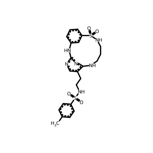 Cc1ccc(S(=O)(=O)NCCc2cnc3nc2NCCCNS(=O)(=O)c2cccc(c2)N3)cc1